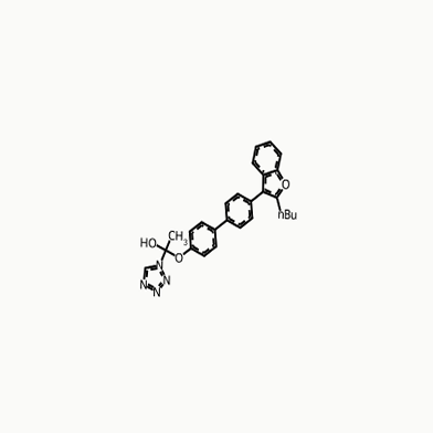 CCCCc1oc2ccccc2c1-c1ccc(-c2ccc(OC(C)(O)n3cnnn3)cc2)cc1